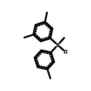 Cc1cccc([Si](C)(Cl)c2cc(C)cc(C)c2)c1